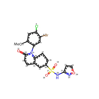 COc1cc(Cl)c(Br)cc1-n1c(=O)ccc2cc(S(=O)(=O)Nc3ccon3)ccc21